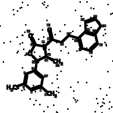 Cc1cc(C)cc([C@H]2OC(=O)N(C(=O)CCc3cccc4c3C=CC4)[C@H]2C)c1